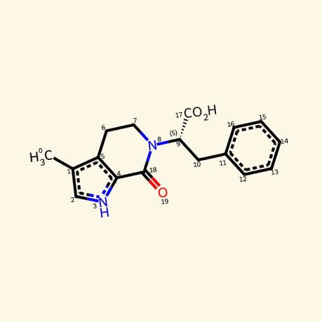 Cc1c[nH]c2c1CCN([C@@H](Cc1ccccc1)C(=O)O)C2=O